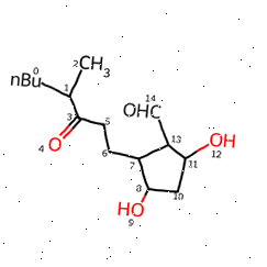 CCCCC(C)C(=O)CCC1C(O)CC(O)C1C=O